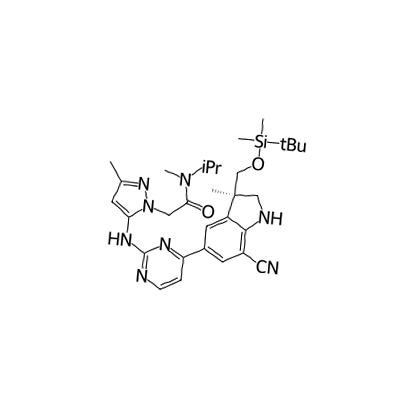 Cc1cc(Nc2nccc(-c3cc(C#N)c4c(c3)[C@@](C)(CO[Si](C)(C)C(C)(C)C)CN4)n2)n(CC(=O)N(C)C(C)C)n1